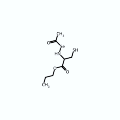 CCCOC(=O)C(CS)N[Se]C(C)=O